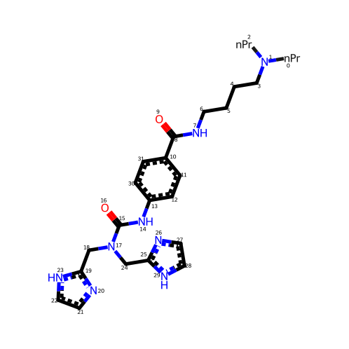 CCCN(CCC)CCCCNC(=O)c1ccc(NC(=O)N(Cc2ncc[nH]2)Cc2ncc[nH]2)cc1